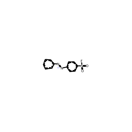 O=S(=O)(F)c1ccc(/N=N/c2ccccc2)cc1